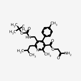 Cc1ccc(-c2c(CNC(=O)OC(C)(C)C)c(CC(C)C)nc(C)c2C(=O)OCC(N)=O)cc1